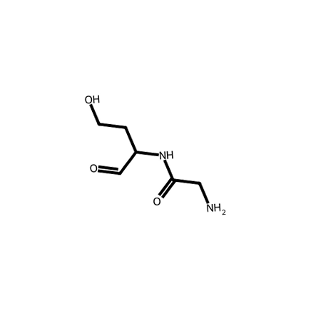 NCC(=O)NC(C=O)CCO